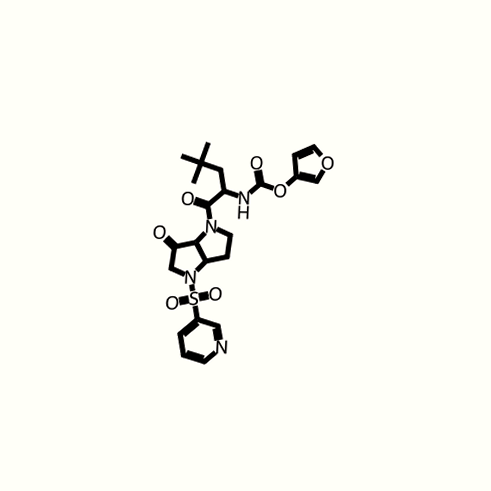 CC(C)(C)CC(NC(=O)Oc1ccoc1)C(=O)N1CCC2C1C(=O)CN2S(=O)(=O)c1cccnc1